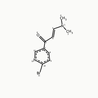 CN(C)C=CC(=O)c1ccc(Br)nc1